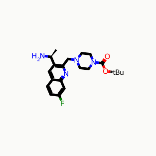 C[C@H](N)c1cc2ccc(F)cc2nc1CN1CCN(C(=O)OC(C)(C)C)CC1